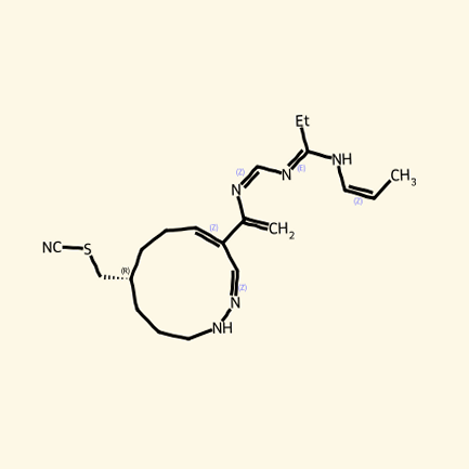 C=C(/N=C\N=C(/CC)N/C=C\C)C1=C/CC[C@@H](CSC#N)CCCN/N=C\1